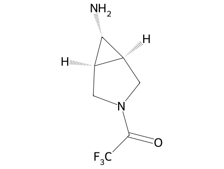 N[C@@H]1[C@H]2CN(C(=O)C(F)(F)F)C[C@@H]12